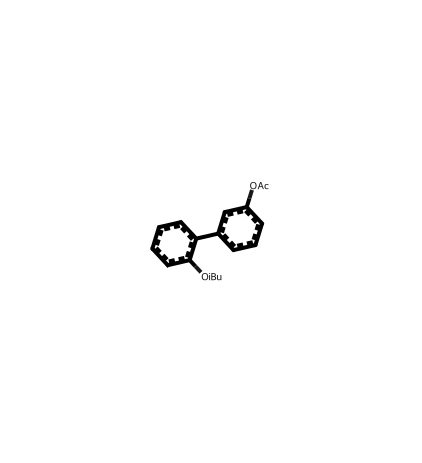 CC(=O)Oc1cccc(-c2ccc[c]c2OCC(C)C)c1